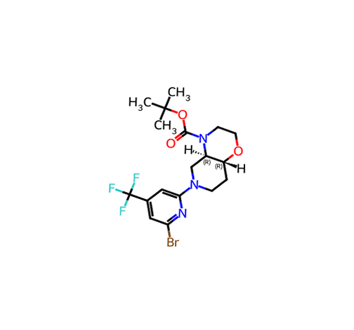 CC(C)(C)OC(=O)N1CCO[C@@H]2CCN(c3cc(C(F)(F)F)cc(Br)n3)C[C@H]21